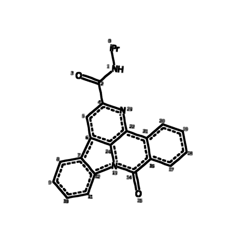 CC(C)NC(=O)c1cc2c3ccccc3n3c(=O)c4ccccc4c(n1)c23